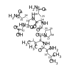 CC[C@H](C)[C@H](NC(=O)[C@@H](N)CC(C)C)C(=O)N1CCC[C@H]1C(=O)N[C@@H](CCC(N)=O)C(=O)N[C@@H](CCC(N)=O)C(=O)NCC(=O)O